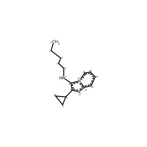 CCCCCNc1c(C2CC2)nc2ccccn12